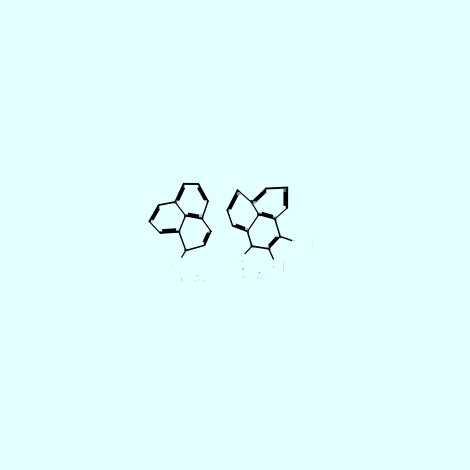 CC(=O)OOC1C(C)=C(C)c2cccc3cccc1c23.CC(=O)OOC1C=Cc2cccc3cccc1c23